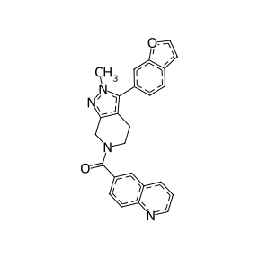 Cn1nc2c(c1-c1ccc3ccoc3c1)CCN(C(=O)c1ccc3ncccc3c1)C2